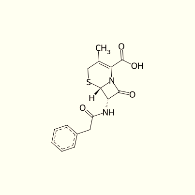 CC1=C(C(=O)O)N2C(=O)[C@H](NC(=O)Cc3ccccc3)[C@@H]2SC1